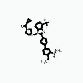 C=Cc1ccc(-c2ccc(-c3nc4c(C(F)(F)F)cccc4n3C[C@@H]3CCN(C(=O)C4CC4)C3)cc2)cc1NN